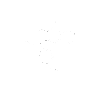 CCC(C)COC1(c2ccc(OC)cc2)OCc2c1[n+]([O-])c1ccccc1[n+]2[O-]